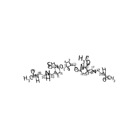 COc1nc(OCc2ccc(COc3ccc(CNCCNC(C)=O)c(OC)n3)s2)ccc1CNCCNC(C)=O